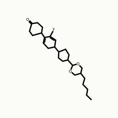 CCCCCC1COC(C2CCC(C3C=C(F)C(C4CCC(=O)CC4)=CC3)CC2)OC1